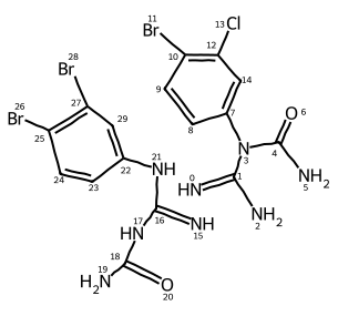 N=C(N)N(C(N)=O)c1ccc(Br)c(Cl)c1.N=C(NC(N)=O)Nc1ccc(Br)c(Br)c1